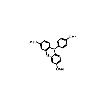 CCCCc1cc(OC)ccc1B(c1ccc(OC)cc1)c1ccc(OC)cc1